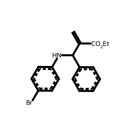 C=C(C(=O)OCC)C(Nc1ccc(Br)cc1)c1ccccc1